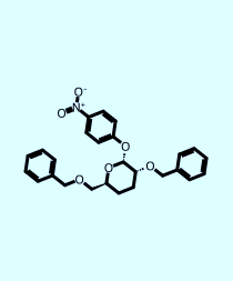 O=[N+]([O-])c1ccc(O[C@H]2O[C@H](COCc3ccccc3)CC[C@H]2OCc2ccccc2)cc1